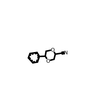 N#CC1COC(c2ccccc2)CO1